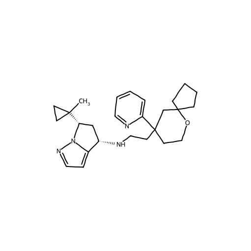 CC1([C@@H]2C[C@H](NCCC3(c4ccccn4)CCOC4(CCCC4)C3)c3ccnn32)CC1